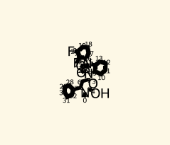 CN(C(=O)O)C(CCN1c2ccccc2N(c2cccc(F)c2F)S1(=O)=O)c1ccccc1